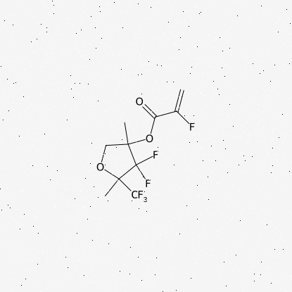 C=C(F)C(=O)OC1(C)COC(C)(C(F)(F)F)C1(F)F